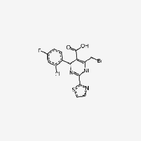 O=C(O)C1=C(CBr)NC(c2nccs2)=NC1c1ccc(F)cc1Cl